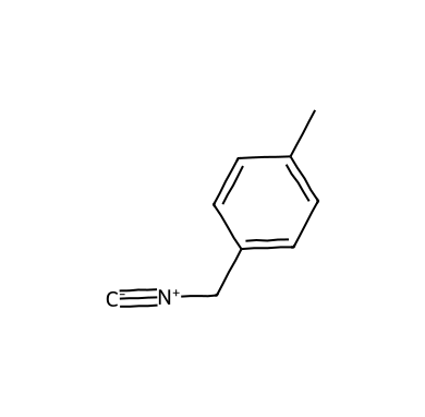 [C-]#[N+]Cc1ccc(C)cc1